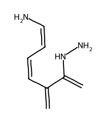 C=C(/C=C\C=C/N)C(=C)NN